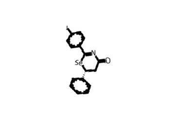 O=C1C[C@H](c2ccccc2)[Se]C(c2ccc(I)cc2)=N1